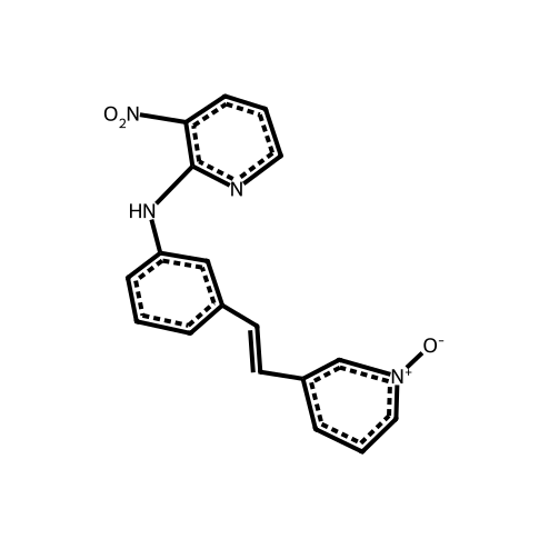 O=[N+]([O-])c1cccnc1Nc1cccc(C=Cc2ccc[n+]([O-])c2)c1